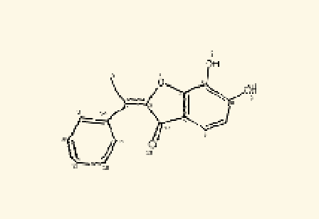 CC(=C1Oc2c(ccc(O)c2O)C1=O)c1ccccc1